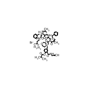 C#CCNC(=O)c1cc(C[N+]2(CC(=O)N(C(=O)[C@@]3(C)CO3)[C@@H](CCc3ccccc3)C(=O)N[C@@H](CC(C)C)C(=O)N[C@@H](Cc3ccccc3)C(=O)NCCC(C)C)CCOCC2)ccc1OC(=O)C(C)C.[Br-]